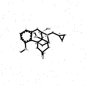 COc1cccc2c1[C@]13CCN(CC4CC4)[C@H](C2)C1(OC)CCC(=O)C3